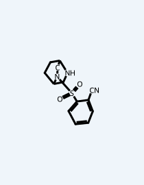 N#Cc1ccccc1S(=O)(=O)N1CC2CCC1CN2